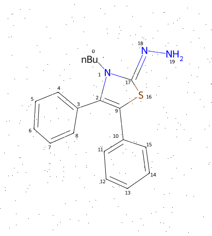 CCCCn1c(-c2ccccc2)c(-c2ccccc2)sc1=NN